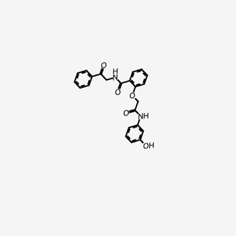 O=C(COc1ccccc1C(=O)NCC(=O)c1ccccc1)Nc1cccc(O)c1